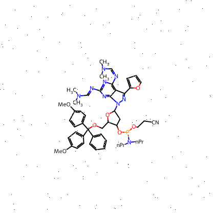 CCCN(CCC)P(OCCC#N)OC1CC(n2nc(-c3ccco3)c3c(/N=C\N(C)C)nc(/N=C/N(C)C)nc32)OC1COC(c1ccccc1)(c1ccc(OC)cc1)c1ccc(OC)cc1